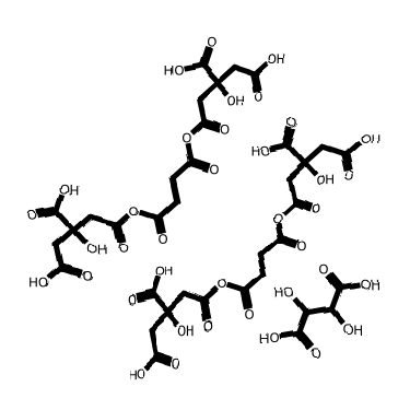 O=C(O)C(O)C(O)C(=O)O.O=C(O)CC(O)(CC(=O)OC(=O)CCC(=O)OC(=O)CC(O)(CC(=O)O)C(=O)O)C(=O)O.O=C(O)CC(O)(CC(=O)OC(=O)CCC(=O)OC(=O)CC(O)(CC(=O)O)C(=O)O)C(=O)O